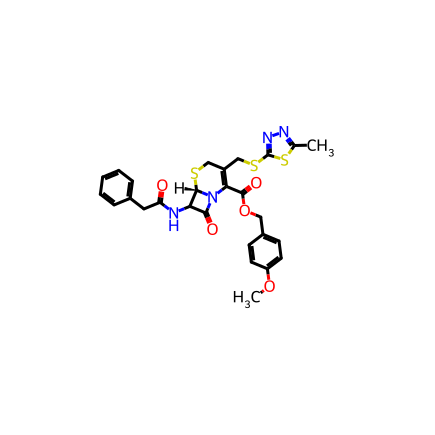 COc1ccc(COC(=O)C2=C(CSc3nnc(C)s3)CS[C@H]3C(NC(=O)Cc4ccccc4)C(=O)N23)cc1